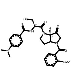 COc1ccccc1C(=O)N1CC(=O)[C@@H]2C1CCN2C(=O)[C@H](CC(C)C)NC(=O)c1ccc(N(C)C)cc1